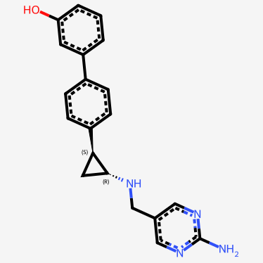 Nc1ncc(CN[C@@H]2C[C@H]2c2ccc(-c3cccc(O)c3)cc2)cn1